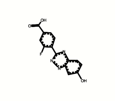 O=C(O)c1ccc(-c2nnc3cc(O)ccc3n2)c(F)c1